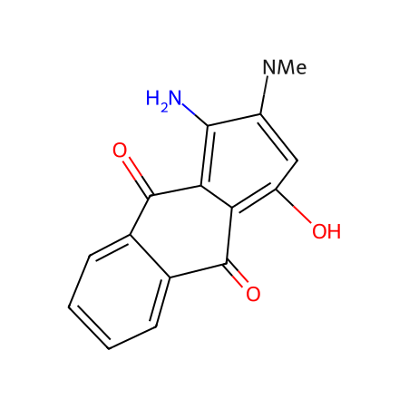 CNc1cc(O)c2c(c1N)C(=O)c1ccccc1C2=O